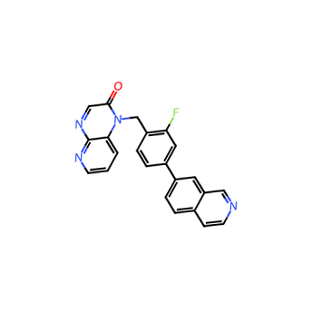 O=c1cnc2ncccc2n1Cc1ccc(-c2ccc3ccncc3c2)cc1F